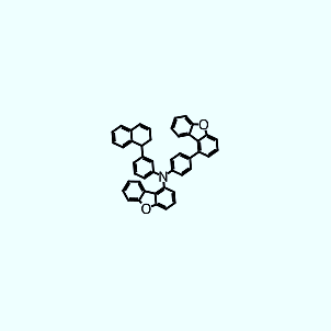 C1=Cc2ccccc2C(c2cccc(N(c3ccc(-c4cccc5oc6ccccc6c45)cc3)c3cccc4oc5ccccc5c34)c2)C1